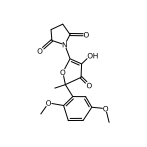 COc1ccc(OC)c(C2(C)OC(N3C(=O)CCC3=O)=C(O)C2=O)c1